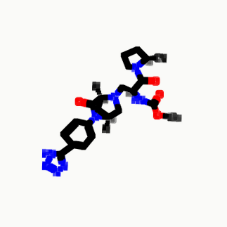 CC(C)(C)OC(=O)N[C@@H](CN1C[C@@H]2C[C@H]1C(=O)N2c1ccc(-c2nnn[nH]2)cc1)C(=O)N1CCC[C@H]1C#N